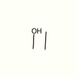 CC.CO